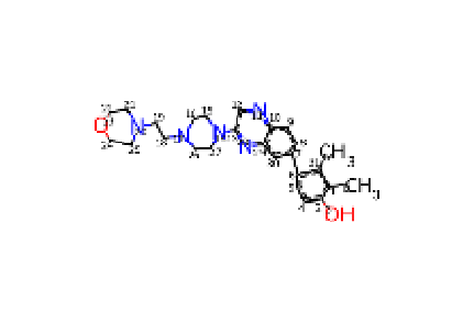 Cc1c(O)ccc(-c2ccc3ncc(N4CCN(CCN5CCOCC5)CC4)nc3c2)c1C